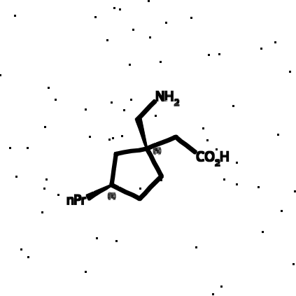 CCC[C@@H]1CC[C@@](CN)(CC(=O)O)C1